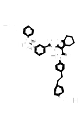 CC(C)N(c1cccc(C(=O)O)c1)S(=O)(=O)c1cccc(C(=O)Nc2sc3c(c2C(=O)Nc2ccc(CCc4ccc(C(=O)O)cc4)cc2)CCCC3)c1